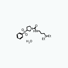 CCN(CC)CCCNC(=O)N1CCC(S(=O)(=O)c2ccccc2)C1.O